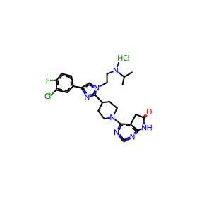 CC(C)N(C)CCn1cc(-c2ccc(F)c(Cl)c2)nc1C1CCN(c2ncnc3c2CC(=O)N3)CC1.Cl